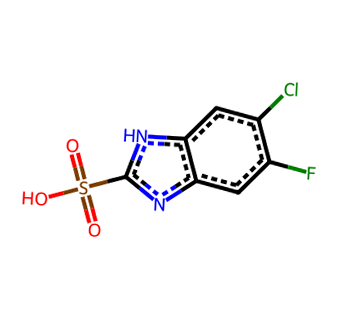 O=S(=O)(O)c1nc2cc(F)c(Cl)cc2[nH]1